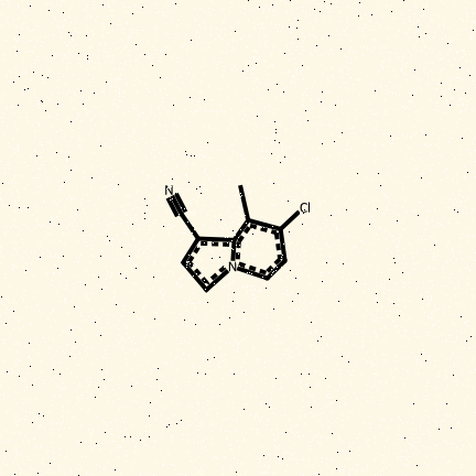 Cc1c(Cl)ccn2ccc(C#N)c12